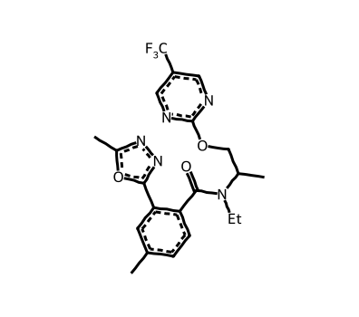 CCN(C(=O)c1ccc(C)cc1-c1nnc(C)o1)C(C)COc1ncc(C(F)(F)F)cn1